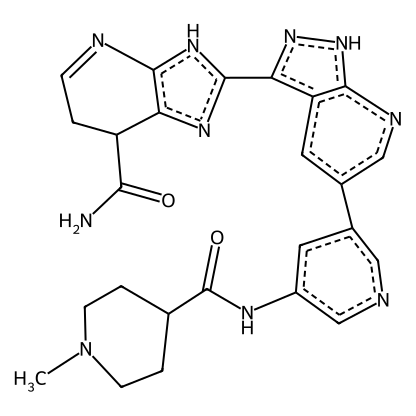 CN1CCC(C(=O)Nc2cncc(-c3cnc4[nH]nc(-c5nc6c([nH]5)N=CCC6C(N)=O)c4c3)c2)CC1